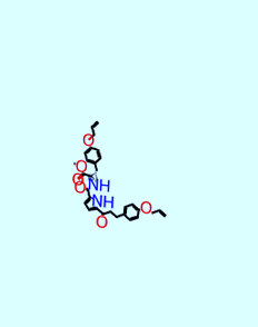 C=CCOc1ccc(CCC(=O)c2ccc(C(=O)N[C@@H](Cc3ccc(OCC=C)cc3)C(=O)OC)[nH]2)cc1